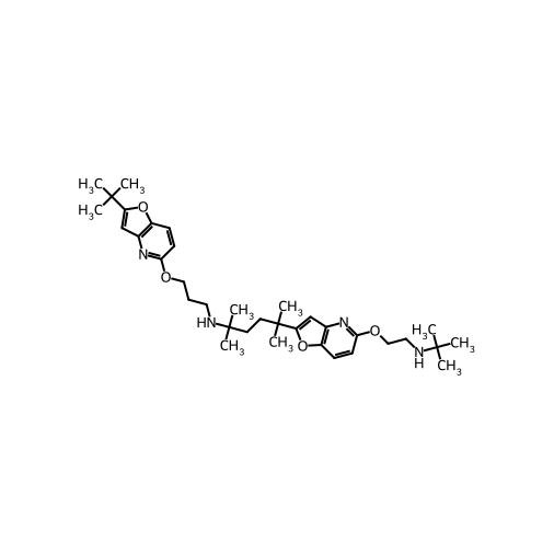 CC(C)(C)NCCOc1ccc2oc(C(C)(C)CCC(C)(C)NCCCOc3ccc4oc(C(C)(C)C)cc4n3)cc2n1